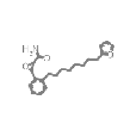 NC(=O)C1OC1c1ccccc1CCCCCCCCc1ccco1